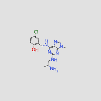 CC(N)CNc1nc(NCc2cc(Cl)ccc2O)c2ncn(C)c2n1